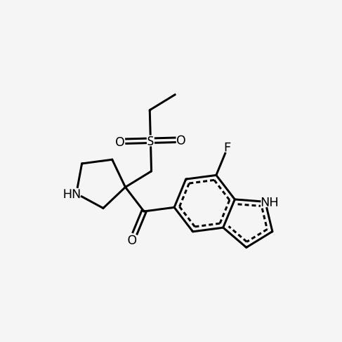 CCS(=O)(=O)CC1(C(=O)c2cc(F)c3[nH]ccc3c2)CCNC1